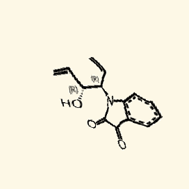 C=C[C@@H](O)[C@@H](C=C)N1C(=O)C(=O)c2ccccc21